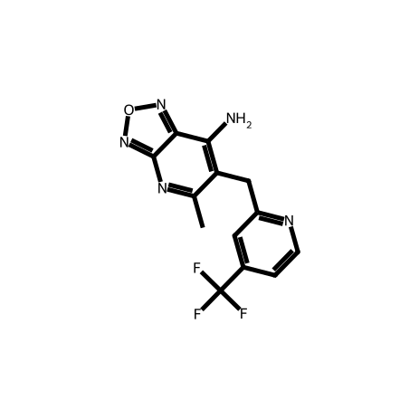 Cc1nc2nonc2c(N)c1Cc1cc(C(F)(F)F)ccn1